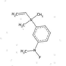 C=C[Si](C)(C)c1cccc(N(C)F)c1